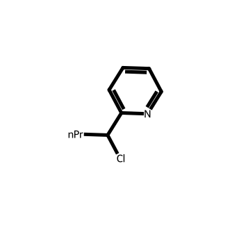 CCCC(Cl)c1ccccn1